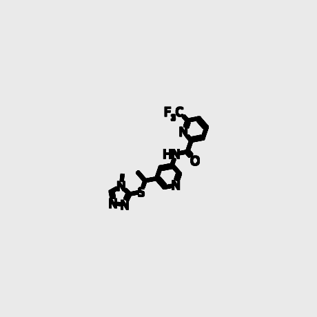 CC(Sc1nncn1C)c1cncc(NC(=O)c2cccc(C(F)(F)F)n2)c1